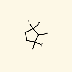 FC1C(F)(F)[CH]CC1(F)F